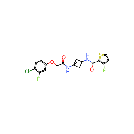 O=C(COc1ccc(Cl)c(F)c1)NC12CC(NC(=O)c3sccc3F)(C1)C2